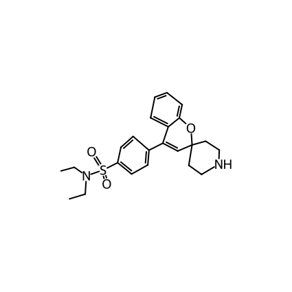 CCN(CC)S(=O)(=O)c1ccc(C2=CC3(CCNCC3)Oc3ccccc32)cc1